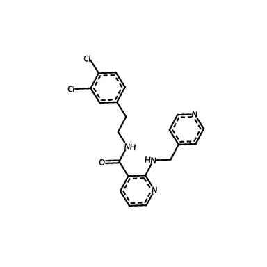 O=C(NCCc1ccc(Cl)c(Cl)c1)c1cccnc1NCc1ccncc1